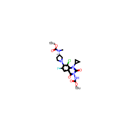 CN(C(=O)OC(C)(C)C)[C@H]1CCN(c2c(F)cc3c(=O)n(NC(=O)OC(C)(C)C)c(=O)n(C4CC4)c3c2Cl)C1